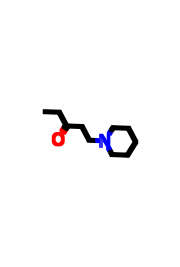 CCC(=O)CCN1CCCCC1